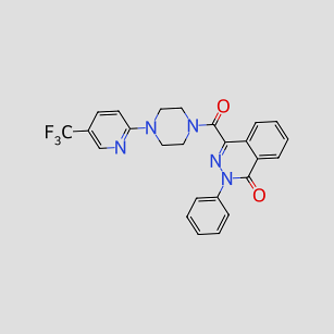 O=C(c1nn(-c2ccccc2)c(=O)c2ccccc12)N1CCN(c2ccc(C(F)(F)F)cn2)CC1